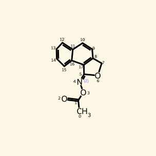 CC(=O)O/N=C1\OCc2ccc3ccccc3c21